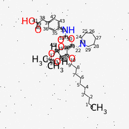 CCCCCCCCCCO[C@@H]1[C@H]2OC(C)(C)O[C@H]2O[C@@H]1[C@@H](CN1CCCCCC1)OC(=O)Nc1ccc(CC(=O)O)cc1